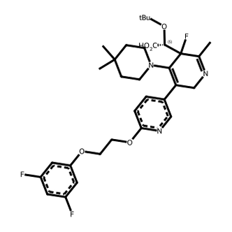 CC1=NCC(c2ccc(OCCOc3cc(F)cc(F)c3)nc2)=C(N2CCC(C)(C)CC2)C1(F)[C@@H](OC(C)(C)C)C(=O)O